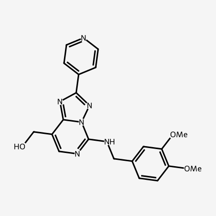 COc1ccc(CNc2ncc(CO)c3nc(-c4ccncc4)nn23)cc1OC